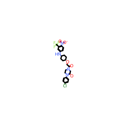 O=C(CO[C@H]1CC[C@H](Nc2ccc([N+](=O)[O-])c(C(F)(F)F)c2)CC1)N1CCN(c2ccc(Cl)cc2)C(=O)C1